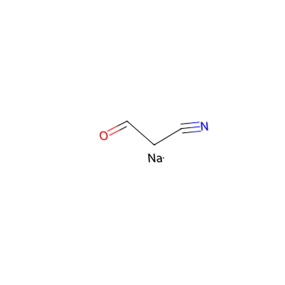 N#CCC=O.[Na]